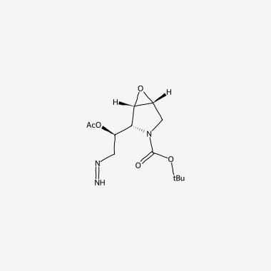 CC(=O)O[C@H](CN=N)[C@@H]1[C@@H]2O[C@@H]2CN1C(=O)OC(C)(C)C